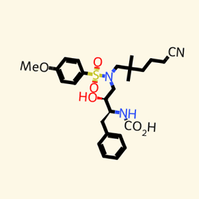 COc1ccc(S(=O)(=O)N(C[C@H](O)[C@H](Cc2ccccc2)NC(=O)O)CC(C)(C)CCCC#N)cc1